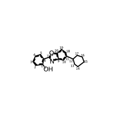 Oc1ccccc1-c1nc2cc(C3CCCCC3)ccc2o1